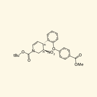 COC(=O)c1ccc(Oc2ccccc2[C@H]2C=CN(C(=O)OC(C)(C)C)C[C@@H]2[N+](=O)[O-])cc1